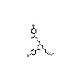 O=C(O)CCCCC(CCSC(=O)c1ccc(Br)cc1)SC(=O)c1ccc(Br)cc1